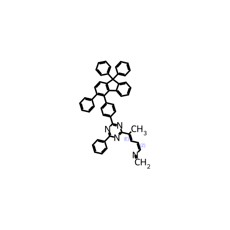 C=N/C=C\C=C(/C)c1nc(-c2ccccc2)nc(-c2ccc(-c3c(-c4ccccc4)ccc4c3-c3ccccc3C4(c3ccccc3)c3ccccc3)cc2)n1